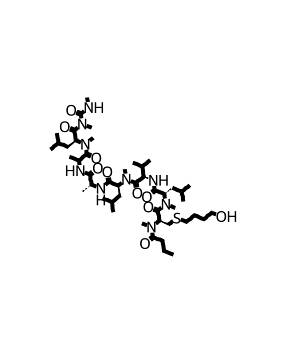 CCCC(=O)N(C)[C@H](CSCCCCO)C(=O)N(C)[C@@H](CC(C)C)C(=O)N[C@H](C(=O)N(C)[C@@H](CC(C)C)C(=O)N[C@H](C)C(=O)NC(C)C(=O)N(C)[C@@H](CC(C)C)C(=O)N(C)C(=O)NC)C(C)C